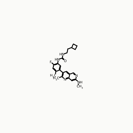 CNc1cc2nc(C)c(-c3cc(NC(=O)NCCC4CCC4)c(F)cc3C)cc2cn1